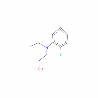 CCN(CCO)c1ccccc1F